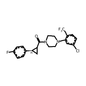 O=C(C1C[C@H]1c1ccc(F)cc1)N1CCN(c2cc(Cl)ccc2C(F)(F)F)CC1